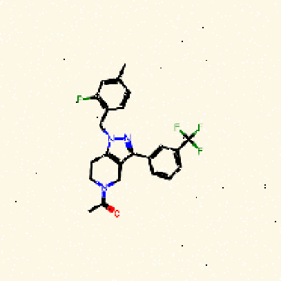 CC(=O)N1CCc2c(c(-c3cccc(C(F)(F)F)c3)nn2Cc2ccc(C)cc2F)C1